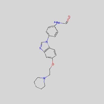 O=CNc1ccc(-n2cnc3cc(OCCN4CCCCC4)ccc32)cc1